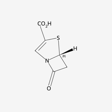 O=C(O)C1=CN2C(=O)C[C@H]2S1